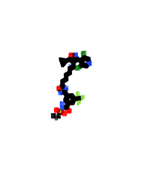 CS(=O)(=O)NC(=O)c1cc(-c2noc(CCCC/C=C/c3c(-c4c(Cl)cncc4Cl)noc3C3CC3)n2)cc(C(F)(F)F)c1